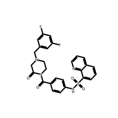 O=C1CN(Cc2cc(F)cc(F)c2)CCN1C(=O)c1ccc(NS(=O)(=O)c2cccc3cccnc23)cc1